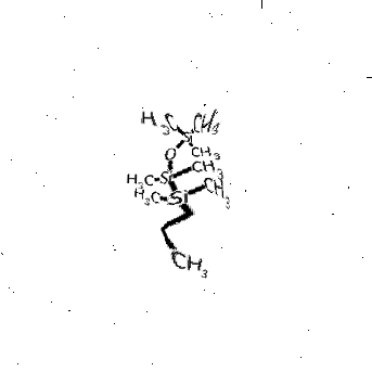 CCC[Si](C)(C)[Si](C)(C)O[Si](C)(C)C